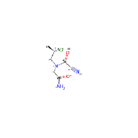 C[C@@H](Cl)CN(CC(N)=O)C(=O)C#N